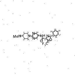 CNC1CCN(c2ncc(NC(=O)c3nc(-c4ccccc4)oc3C(F)(F)F)cn2)CC1